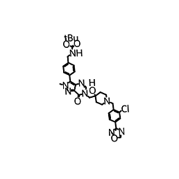 Cn1nc2c(=O)n(CC3(O)CCN(Cc4ccc(-c5ncon5)cc4Cl)CC3)cnc2c1-c1ccc(CNC(=O)OC(C)(C)C)cc1